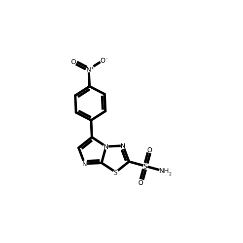 NS(=O)(=O)c1nn2c(-c3ccc([N+](=O)[O-])cc3)cnc2s1